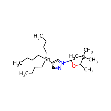 CCC[CH2][Sn]([CH2]CCC)([CH2]CCC)[c]1cnn(COC(C)[Si](C)(C)C)c1